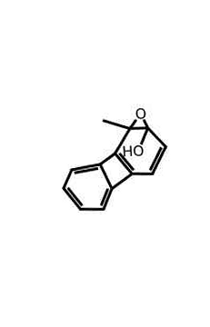 CC12OC1(O)C=CC1=C2c2ccccc21